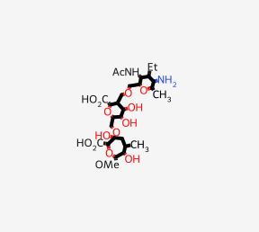 CCC1C(N)C(C)OC(COCC2C(C(=O)O)OC(COC3(O)CC(C)C(O)C(OC)OC3C(=O)O)C(O)C2O)C1NC(C)=O